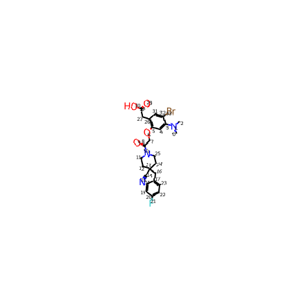 CN(C)c1cc(OCC(=O)N2CCC(C#N)(Cc3ccc(F)cc3)CC2)c(CC(=O)O)cc1Br